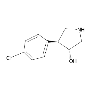 O[C@H]1CNC[C@@H]1c1ccc(Cl)cc1